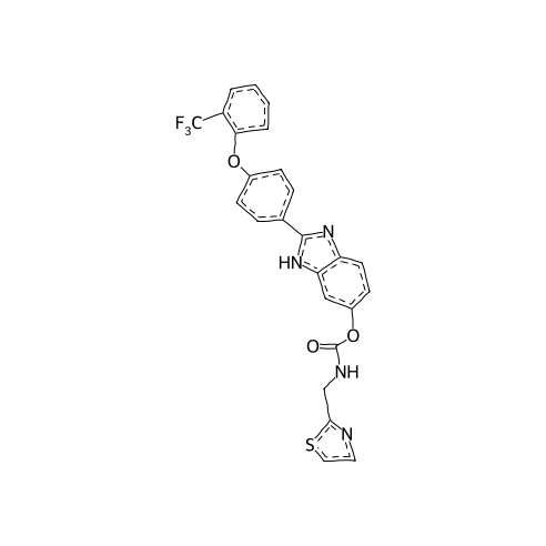 O=C(NCc1nccs1)Oc1ccc2nc(-c3ccc(Oc4ccccc4C(F)(F)F)cc3)[nH]c2c1